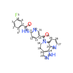 Cc1ccc(F)cc1C(=O)Nc1ccc(C(=O)N2CCc3cn[nH]c3-c3ncccc32)cn1